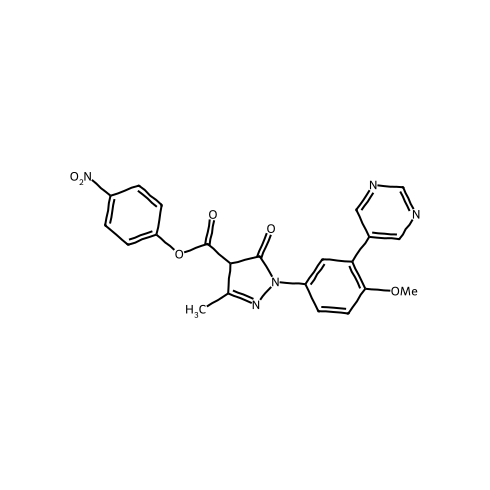 COc1ccc(N2N=C(C)C(C(=O)Oc3ccc([N+](=O)[O-])cc3)C2=O)cc1-c1cncnc1